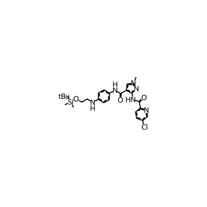 Cn1cc(C(=O)Nc2ccc(NCCO[Si](C)(C)C(C)(C)C)cc2)c(NC(=O)c2ccc(Cl)cn2)n1